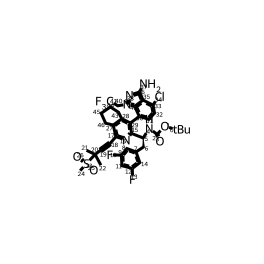 CC(C)(C)OC(=O)N[C@@H](Cc1cc(F)cc(F)c1)c1nc(C#CC(C)(C)S(C)(=O)=O)c2c(c1-c1ccc(Cl)c3c(N)nn(CC(F)(F)F)c13)CCCC2